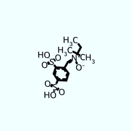 CCC(C)(C)[N+]([O-])=Cc1ccc(S(=O)(=O)O)cc1S(=O)(=O)O